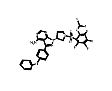 Nc1ncnc2c1c(-c1ccc(Oc3ccccc3)cc1)nn2[C@H]1CCN(S(=O)(=O)c2c(F)c(F)c(F)c(F)c2OC(F)F)C1